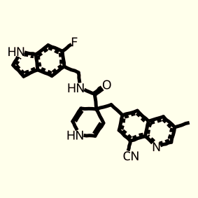 Cc1cnc2c(C#N)cc(CC3(C(=O)NCc4cc5cc[nH]c5cc4F)C=CNC=C3)cc2c1